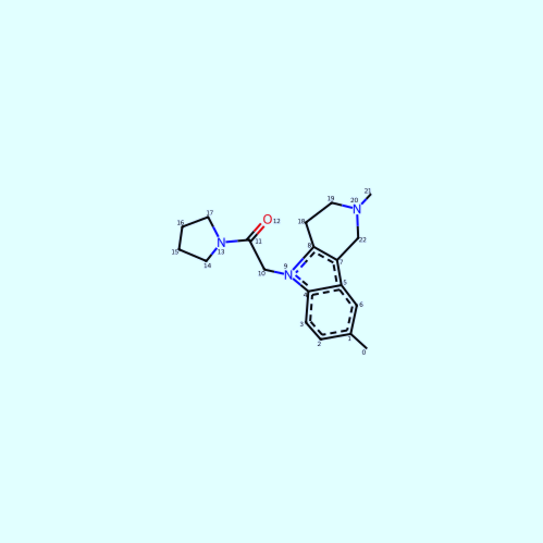 Cc1ccc2c(c1)c1c(n2CC(=O)N2CCCC2)CCN(C)C1